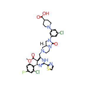 COC(=O)C1=C(CN2CCN3C(=O)N(c4cc(Cl)cc(N5CCC(C(=O)O)CC5)c4)C[C@@H]3C2)NC(c2nccs2)=N[C@H]1c1ccc(F)cc1Cl